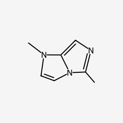 Cc1ncc2n(C)ccn12